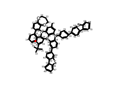 Cc1cc2c3c(c1)N(c1c(-c4ccccc4)ccc4c1OCCCO4)c1ccc(C(C)(C)C)cc1B3c1cc(-c3ccc4c(c3)sc3ccccc34)ccc1N2c1ccc(-c2ccc3c(c2)sc2ccccc23)cc1